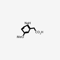 COc1cccc(CC(=O)O)c1.[NaH]